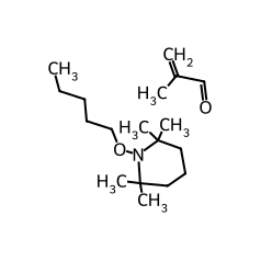 C=C(C)C=O.CCCCCON1C(C)(C)CCCC1(C)C